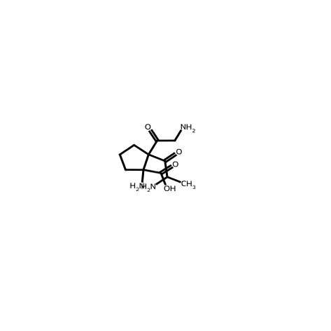 CC(N)C(=O)C1(C(=O)CN)CCCC1(N)C(=O)O